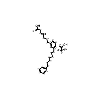 O=C(O)C(F)(F)F.O=C(O)CCNCCCc1cccc(OCCCCCCc2ccccc2)c1